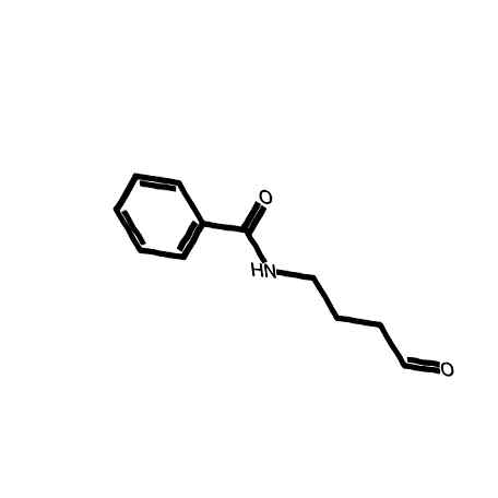 O=CCCCNC(=O)c1ccccc1